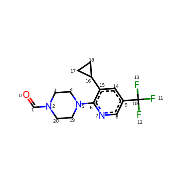 O=CN1CCN(c2ncc(C(F)(F)F)cc2C2CC2)CC1